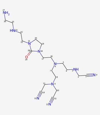 N#CCNCCN(CCN(CC#N)CC#N)CCN1CCN(CCNCCN)C1=O